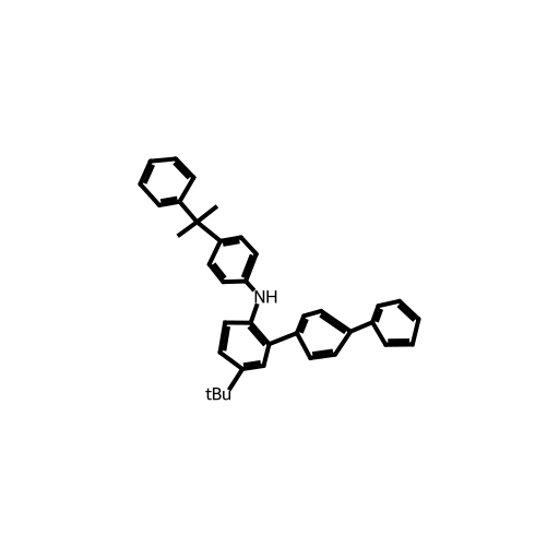 CC(C)(C)c1ccc(Nc2ccc(C(C)(C)c3ccccc3)cc2)c(-c2ccc(-c3ccccc3)cc2)c1